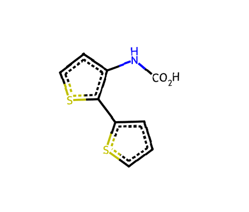 O=C(O)Nc1ccsc1-c1cccs1